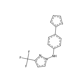 FC(F)(F)c1ccn(Nc2ccc(-c3cccs3)cc2)n1